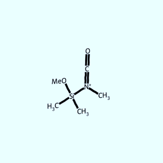 CO[Si](C)(C)[N+](C)=C=O